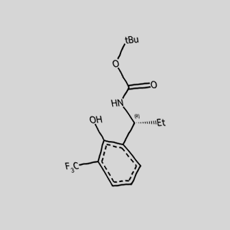 CC[C@@H](NC(=O)OC(C)(C)C)c1cccc(C(F)(F)F)c1O